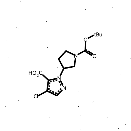 CC(C)(C)OC(=O)N1CCC(n2ncc(Cl)c2C(=O)O)C1